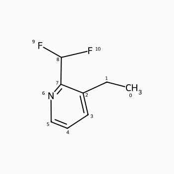 CCc1cccnc1C(F)F